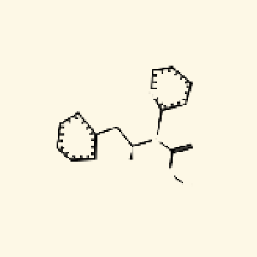 CC(C)(C)OC(=O)N(c1ccccn1)[C@H](Cc1ccccc1)C(=O)O